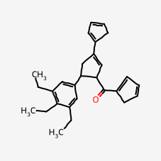 CCc1cc(C2CC(C3=CC=CC3)=CC2C(=O)C2=CC=CC2)cc(CC)c1CC